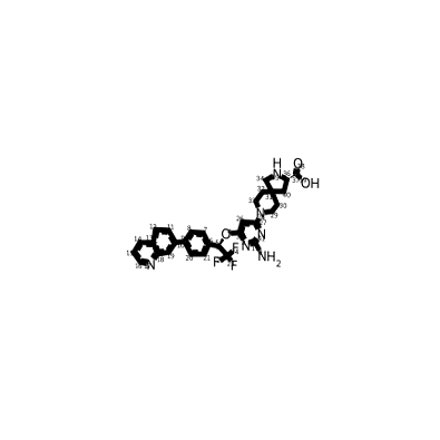 Nc1nc(O[C@H](c2ccc(-c3ccc4cccnc4c3)cc2)C(F)(F)F)cc(N2CCC3(CC2)CN[C@H](C(=O)O)C3)n1